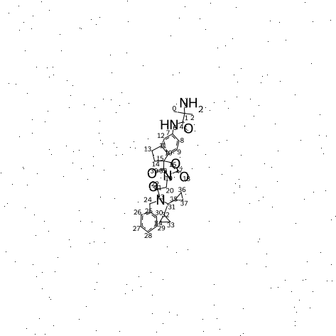 CC(C)(N)C(=O)Nc1ccc2c(c1)CCC21OC(=O)N(CC(=O)N(Cc2ccccc2)C(C2CC2)C2CC2)C1=O